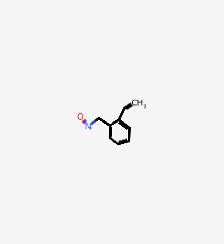 C=Cc1ccccc1CN=O